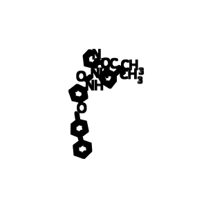 CC(C)(C)c1ccccc1Oc1ncccc1NC(=O)Nc1cccc(OCc2ccc(-c3ccccc3)cc2)c1